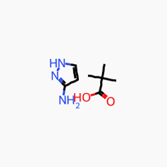 CC(C)(C)C(=O)O.Nc1cc[nH]n1